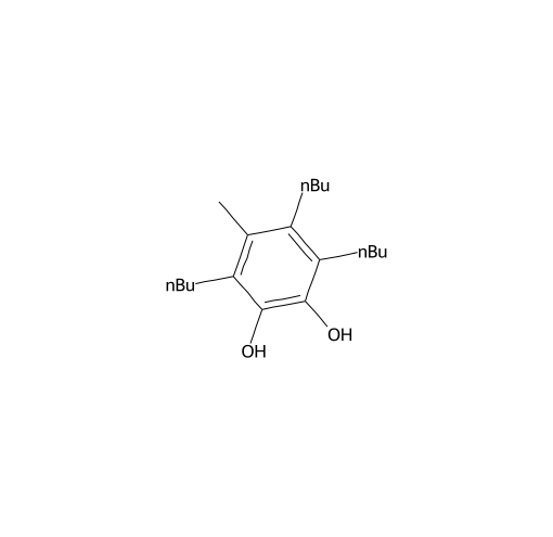 CCCCc1c(C)c(CCCC)c(CCCC)c(O)c1O